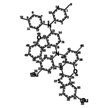 Cc1ccc(N(c2ccc(C)cc2)c2ccc(N3c4ccc(C(C)(C)C)cc4B4c5sc6ccc(C(C)(C)C)cc6c5Oc5cc(C)cc3c54)c3c2oc2ccccc23)cc1